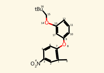 Cc1cc([N+](=O)[O-])ccc1Oc1cccc(OCC(C)(C)C)c1